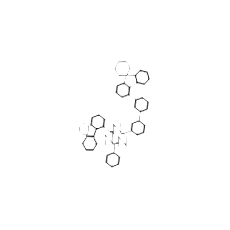 c1ccc(-c2nc(-c3cccc(-c4cccc(-c5cccc6c5-c5ccccc5C65CCCCC5)c4)c3)nc(-c3cccc4oc5ccccc5c34)n2)cc1